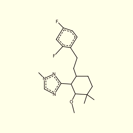 COC1C(c2ncn(C)n2)C(CCc2ccc(F)cc2F)CCC1(C)C